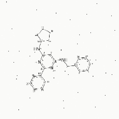 c1ccc(CNc2cc(NC3CCCC3)nc(-c3ccccc3)n2)cc1